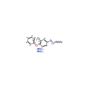 C#N.C#N.CNN=Cc1ccc(Oc2ccccc2)c(C(F)(F)F)c1